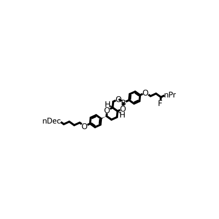 CCCCCCCCCCCCCCOc1ccc([C@H]2CC[C@@H]3OB(c4ccc(OCCC(F)CCC)cc4)OC[C@H]3O2)cc1